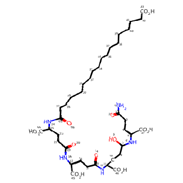 NC(=O)CCC(NC(O)CCC(NC(=O)CCC(NC(=O)CCC(NC(=O)CCCCCCCCCCCCCCCCC(=O)O)C(=O)O)C(=O)O)C(=O)O)C(=O)O